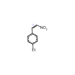 CCc1ccc(/C=C\[N+](=O)[O-])cc1